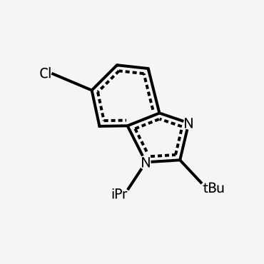 CC(C)n1c(C(C)(C)C)nc2ccc(Cl)cc21